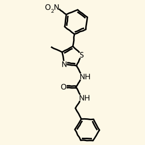 Cc1nc(NC(=O)NCc2ccccc2)sc1-c1cccc([N+](=O)[O-])c1